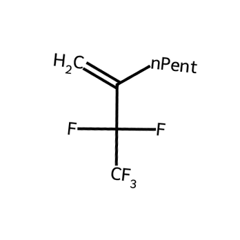 C=C(CCCCC)C(F)(F)C(F)(F)F